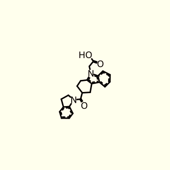 O=C(O)Cn1c2c(c3ccccc31)CC(C(=O)N1CCc3ccccc31)CC2